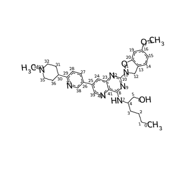 CCCCC(CO)Nc1nc(N2Cc3ccc(OC)cc3O2)nc2cc(-c3ccc(C4CCN(C)CC4)nc3)cnc12